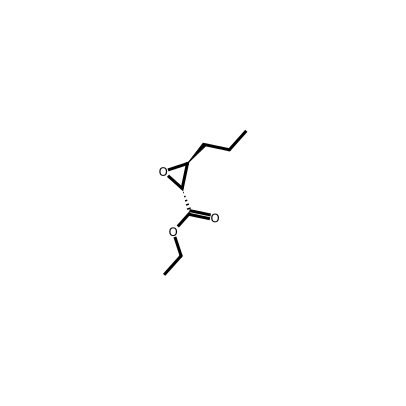 CCC[C@@H]1O[C@H]1C(=O)OCC